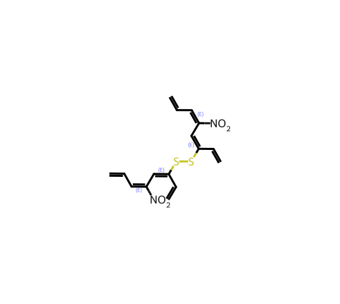 C=C/C=C(\C=C(/C=C)SS/C(C=C)=C/C(=C\C=C)[N+](=O)[O-])[N+](=O)[O-]